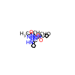 C[C@H](N)C(=O)N[C@@H](C)C(=O)N[C@@H](Cc1c[nH]c2ccccc12)C(=O)N[C@@H]([C]=O)Cc1ccccc1